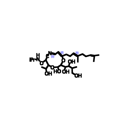 CC(C)=CCC/C(C)=C/CC/C1=C/C=N/CC(ONC(C)C)C(C(C)O)OC(O)C(C(O)C(O)C(C)CO)O1